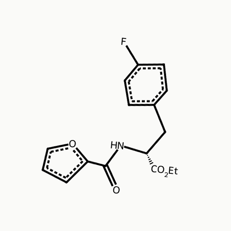 CCOC(=O)[C@@H](Cc1ccc(F)cc1)NC(=O)c1ccco1